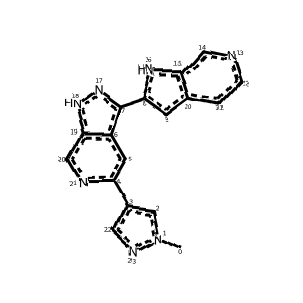 Cn1cc(-c2cc3c(-c4cc5ccncc5[nH]4)n[nH]c3cn2)cn1